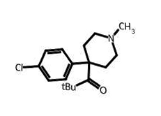 CN1CCC(C(=O)C(C)(C)C)(c2ccc(Cl)cc2)CC1